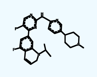 CC(C)N1CC=Cc2c(F)cc(-c3nc(Nc4ccc(C5CCN(C)CC5)cn4)ncc3F)cc21